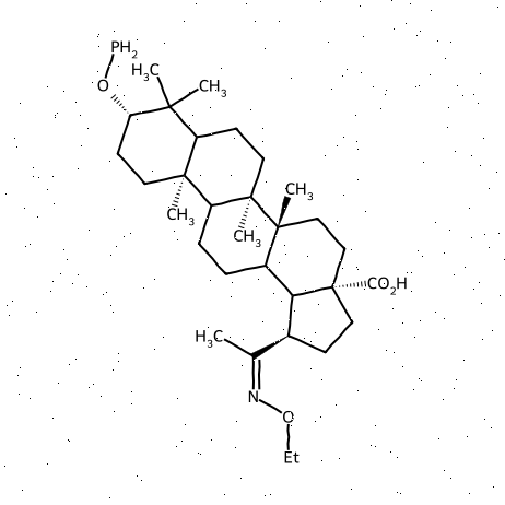 CCO/N=C(/C)[C@@H]1CC[C@]2(C(=O)O)CC[C@]3(C)C(CCC4[C@@]5(C)CC[C@H](OP)C(C)(C)C5CC[C@]43C)C12